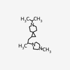 CC(C)N1CCC2(CC1)CC2CC(C)N1CCN(C)CC1